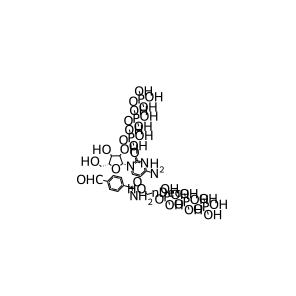 CCCCCCCCCCCO.NC(=O)c1ccc(C=O)cc1.Nc1ccn([C@@H]2O[C@H](CO)[C@@H](O)[C@H]2O)c(=O)n1.O=P(O)(O)O.O=P(O)(O)O.O=P(O)(O)O.O=P(O)(O)O.O=P(O)(O)O.O=P(O)(O)O